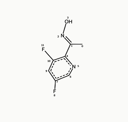 CC(=NO)c1ncc(F)cc1F